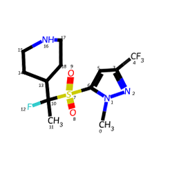 Cn1nc(C(F)(F)F)cc1S(=O)(=O)C(C)(F)C1CCNCC1